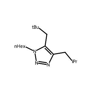 CCCCCCn1nnc(CC(C)C)c1CC(C)(C)C